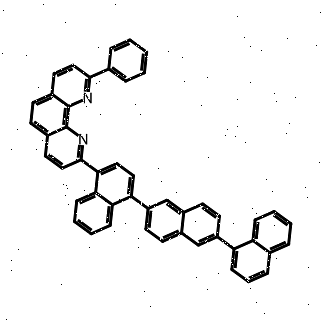 c1ccc(-c2ccc3ccc4ccc(-c5ccc(-c6ccc7cc(-c8cccc9ccccc89)ccc7c6)c6ccccc56)nc4c3n2)cc1